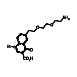 CCn1cc(C(=O)O)c(=O)c2cc(CCOCCOCCN)ccc21